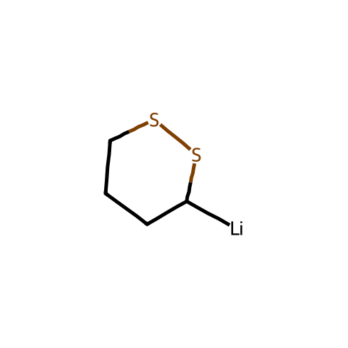 [Li][CH]1CCCSS1